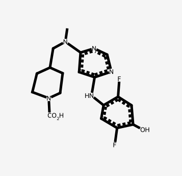 CN(CC1CCN(C(=O)O)CC1)c1cc(Nc2cc(F)c(O)cc2F)ncn1